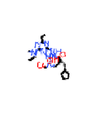 CCc1nc(NNC(=O)[C@H](CC2CCCC2)CN(O)C=O)nc(N(C)CC)n1